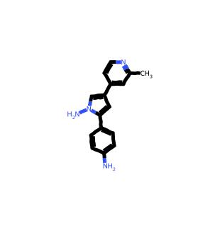 Cc1cc(-c2cc(-c3ccc(N)cc3)n(N)c2)ccn1